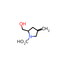 C=C1CC(CO)N(C(=O)O)C1